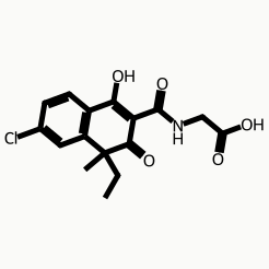 CCC1(C)C(=O)C(C(=O)NCC(=O)O)=C(O)c2ccc(Cl)cc21